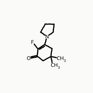 CC1(C)CC(=O)C(F)=C(N2CCCC2)C1